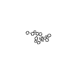 c1ccc(-c2ccc3c(c2)oc2cccc(-c4ccc5oc6cccc(-c7nc(-c8ccccc8)nc(-c8cccc9c8oc8ccccc89)n7)c6c5c4)c23)cc1